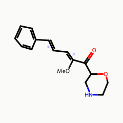 CO/C(=C\C=C\c1ccccc1)C(=O)C1CNCCO1